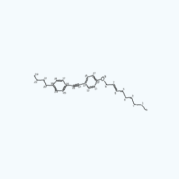 CCCCCCC=CCOc1ccc(C#Cc2ccc(CCCC)cc2)cc1